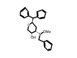 CON(Cc1ccccc1)[C@H]1C[C@H](C(c2ccccc2)c2ccccc2)OC[C@H]1O